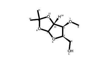 CO[C@H]1[C@@H](CO)OC2OC(C)(C)O[C@@H]21